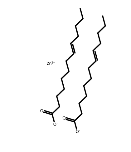 CCCCC=CCCCCCCC(=O)[O-].CCCCC=CCCCCCCC(=O)[O-].[Zn+2]